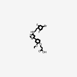 CCOc1cc(-c2cc(NCCc3c(F)cc(Br)cc3F)ncn2)ccc1OCCC(=O)O